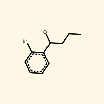 CCCC([O])c1ccccc1Br